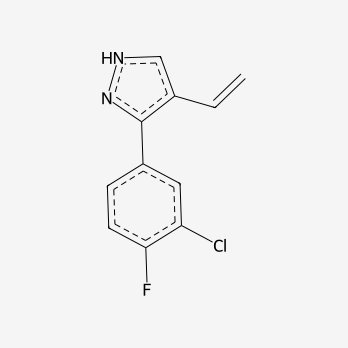 C=Cc1c[nH]nc1-c1ccc(F)c(Cl)c1